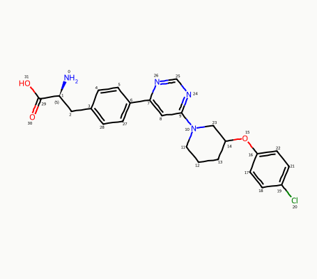 N[C@@H](Cc1ccc(-c2cc(N3CCCC(Oc4ccc(Cl)cc4)C3)ncn2)cc1)C(=O)O